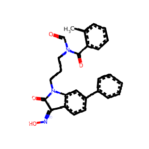 Cc1ccccc1C(=O)N(C=O)CCCN1C(=O)/C(=N\O)c2ccc(-c3ccccc3)cc21